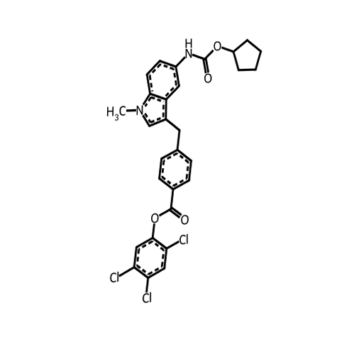 Cn1cc(Cc2ccc(C(=O)Oc3cc(Cl)c(Cl)cc3Cl)cc2)c2cc(NC(=O)OC3CCCC3)ccc21